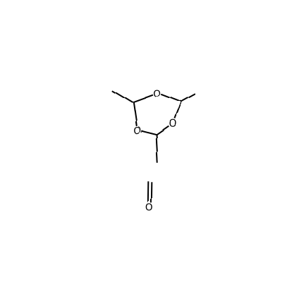 C=O.CC1OC(C)OC(C)O1